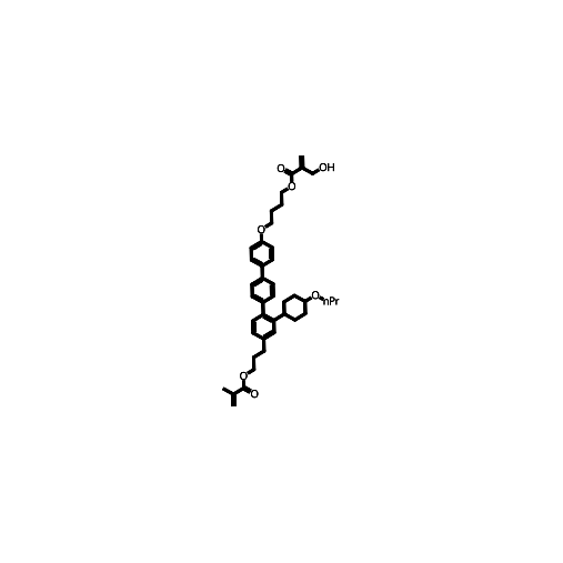 C=C(C)C(=O)OCCCc1ccc(-c2ccc(-c3ccc(OCCCCOC(=O)C(=C)CO)cc3)cc2)c(C2CCC(OCCC)CC2)c1